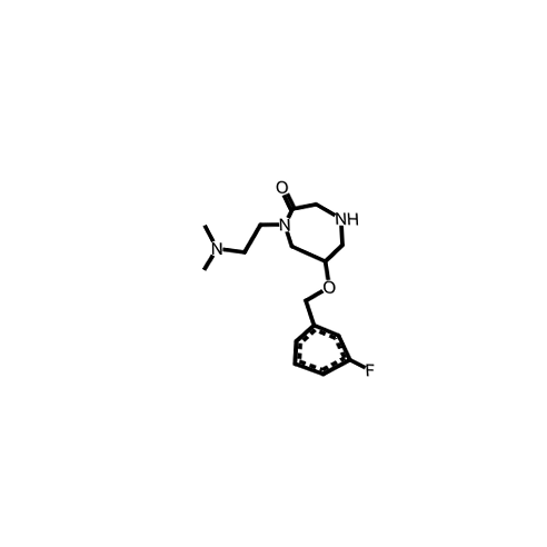 CN(C)CCN1CC(OCc2cccc(F)c2)CNCC1=O